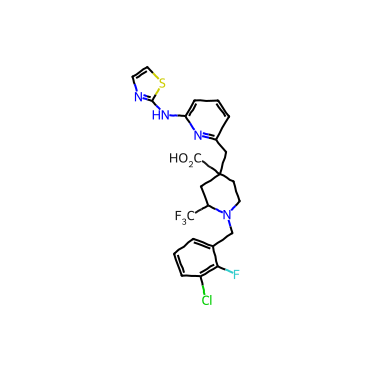 O=C(O)C1(Cc2cccc(Nc3nccs3)n2)CCN(Cc2cccc(Cl)c2F)C(C(F)(F)F)C1